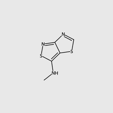 CNc1snc2ncsc12